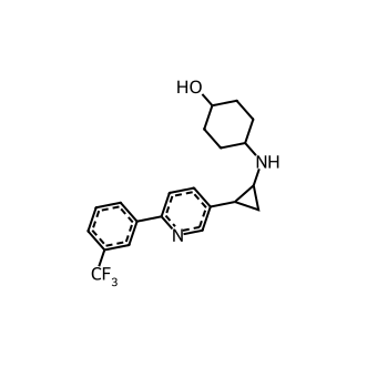 OC1CCC(NC2CC2c2ccc(-c3cccc(C(F)(F)F)c3)nc2)CC1